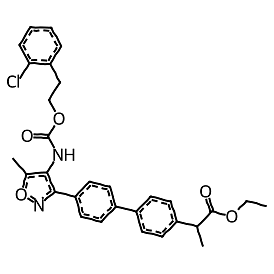 CCOC(=O)C(C)c1ccc(-c2ccc(-c3noc(C)c3NC(=O)OCCc3ccccc3Cl)cc2)cc1